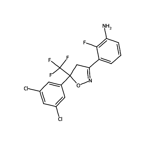 Nc1cccc(C2=NOC(c3cc(Cl)cc(Cl)c3)(C(F)(F)F)C2)c1F